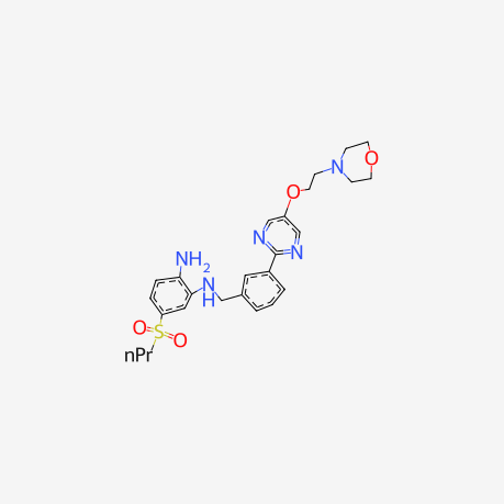 CCCS(=O)(=O)c1ccc(N)c(NCc2cccc(-c3ncc(OCCN4CCOCC4)cn3)c2)c1